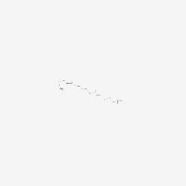 FC(F)(F)C(F)(F)CCCCCCCCCCOCC1CCCO1